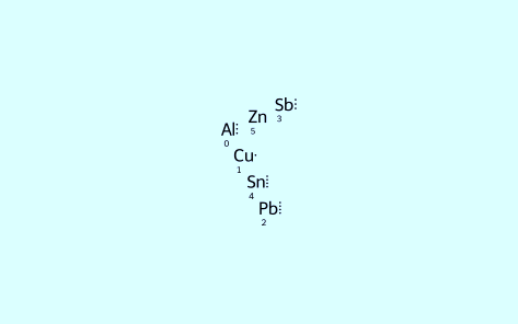 [Al].[Cu].[Pb].[Sb].[Sn].[Zn]